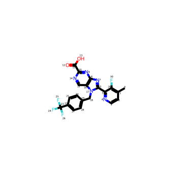 Cc1ccnc(-c2nc3nc(C(=O)O)ncc3n2Cc2ccc(C(F)(F)F)cc2)c1F